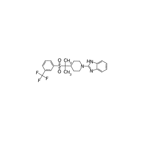 CC(C)(C1CCN(c2nc3ccccc3[nH]2)CC1)S(=O)(=O)c1cccc(C(F)(F)F)c1